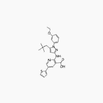 CCOc1cccc(-n2nc(Nc3ncc(-c4cccs4)cc3C(=O)O)cc2CC(C)(C)C)c1